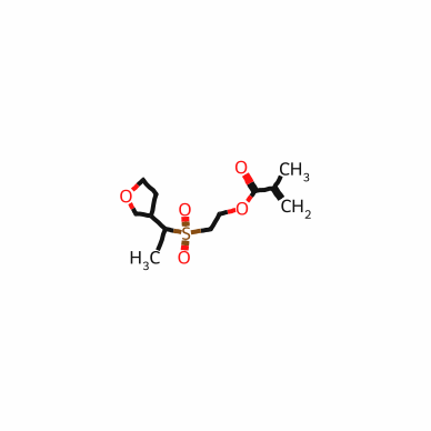 C=C(C)C(=O)OCCS(=O)(=O)C(C)C1CCOC1